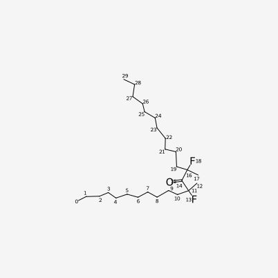 CCCCCCCCCCCC(C)(F)C(=O)C(C)(F)CCCCCCCCCCC